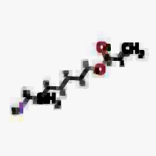 C=CC(=O)OCCCCC[SiH2]CI